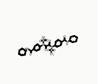 O=C(Nc1ccccc1)c1ccc(N(C(=O)C(=O)N(c2ccc(C(=O)Nc3ccccc3)cc2)S(=O)(=O)C(F)(F)F)S(=O)(=O)C(F)(F)F)cc1